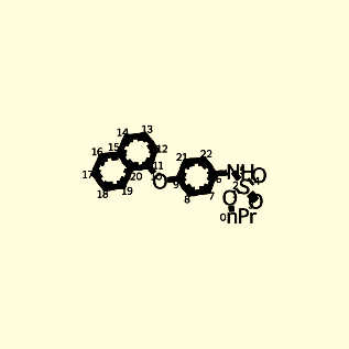 CCCOS(=O)(=O)Nc1ccc(Oc2cccc3ccccc23)cc1